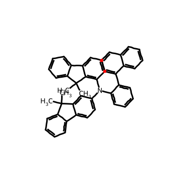 CC1(C)c2ccccc2-c2ccc(N(c3ccccc3-c3cccc4ccccc34)c3cccc4c3C(C)(C)c3ccccc3-4)cc21